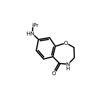 CC(C)Nc1ccc2c(c1)OCCNC2=O